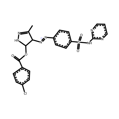 CC1=NNC(OC(=O)c2ccc(Cl)cc2)C1/N=N/c1ccc(S(=O)(=O)Nc2ncccn2)cc1